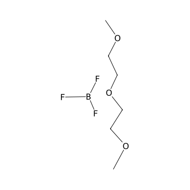 COCCOCCOC.FB(F)F